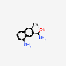 Cc1cc2cccc(N)c2cc1C(N)O